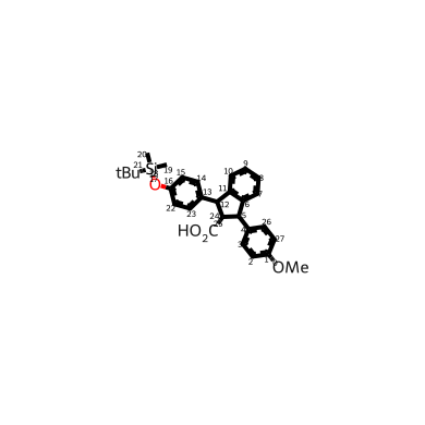 COc1ccc(C2c3ccccc3C(c3ccc(O[Si](C)(C)C(C)(C)C)cc3)C2C(=O)O)cc1